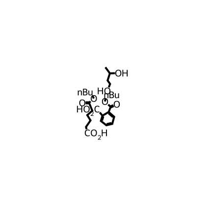 CC(O)CCO.CCCCOC(=O)CCCCC(=O)O.CCCCOC(=O)c1ccccc1C(=O)O